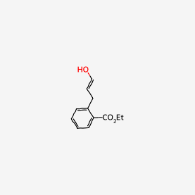 CCOC(=O)c1ccccc1CC=CO